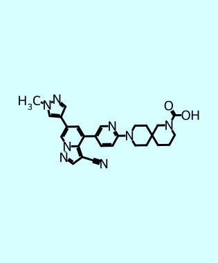 Cn1cc(-c2cc(-c3ccc(N4CCC5(CCCN(C(=O)O)C5)CC4)nc3)c3c(C#N)cnn3c2)cn1